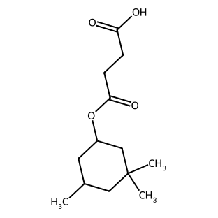 CC1CC(OC(=O)CCC(=O)O)CC(C)(C)C1